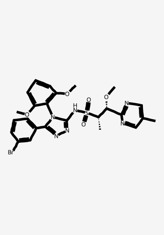 COc1cccc(OC)c1-n1c(NS(=O)(=O)[C@@H](C)[C@H](OC)c2ncc(C)cn2)nnc1-c1cccc(Br)c1